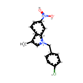 Cc1cn(Cc2ccc(Cl)cc2)c2cc([N+](=O)[O-])ccc12